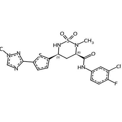 CN1[C@@H](C(=O)Nc2ccc(F)c(Cl)c2)C[C@@H](c2ccc(-c3ncn(C)n3)s2)NS1(=O)=O